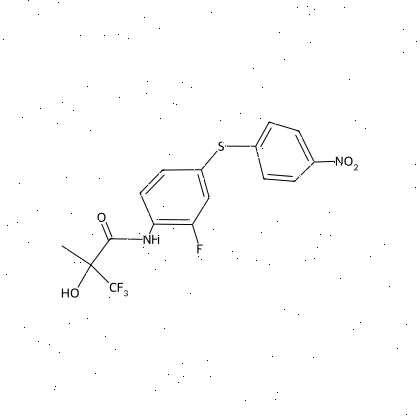 CC(O)(C(=O)Nc1ccc(Sc2ccc([N+](=O)[O-])cc2)cc1F)C(F)(F)F